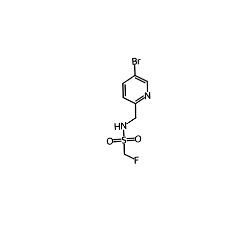 O=S(=O)(CF)NCc1ccc(Br)cn1